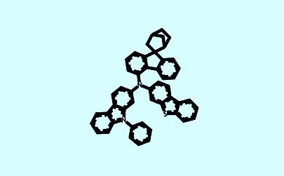 c1ccc(-n2c3ccccc3c3ccc(N(c4ccc5c(c4)sc4ccccc45)c4cccc5c4-c4ccccc4C54CC5CCC4C5)cc32)cc1